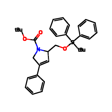 CC(C)(C)OC(=O)N1CC(c2ccccc2)=CC1CO[Si](c1ccccc1)(c1ccccc1)C(C)(C)C